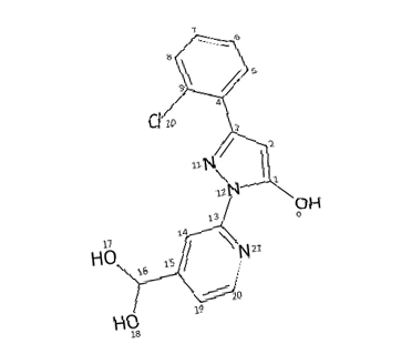 Oc1cc(-c2ccccc2Cl)nn1-c1cc(C(O)O)ccn1